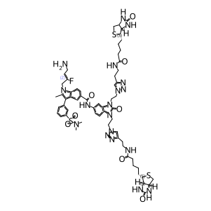 Cc1c(-c2cccc(S(=O)(=O)N(C)C)c2)c2cc(C(=O)Nc3ccc4c(c3)n(CCn3cc(CCNC(=O)CCCC[C@@H]5SCC6NC(=O)N[C@@H]65)nn3)c(=O)n4CCn3cc(CCNC(=O)CCCC[C@@H]4SC[C@@H]5NC(=O)N[C@@H]54)nn3)ccc2n1C/C(F)=C/CN